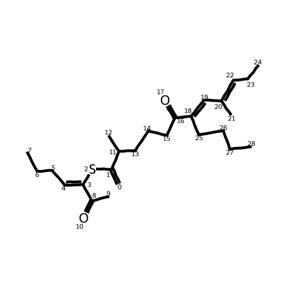 C=C(S/C(=C\CCC)C(C)=O)C(C)CCCC(=O)/C(=C/C(C)=C/CC)CCCC